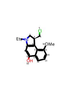 CCN1C[C@@H](CCl)c2c1cc(O)c1cccc(OC)c21